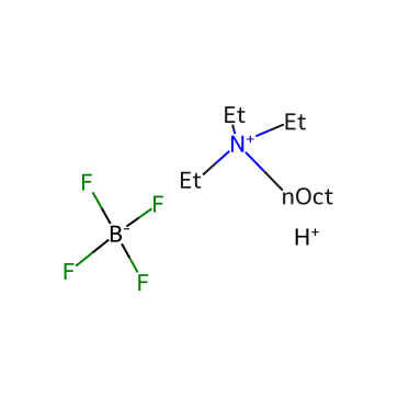 CCCCCCCC[N+](CC)(CC)CC.F[B-](F)(F)F.[H+]